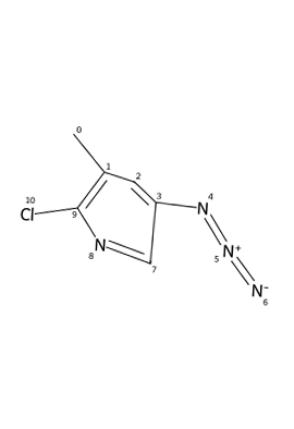 Cc1cc(N=[N+]=[N-])cnc1Cl